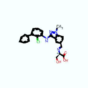 Cn1nc(Nc2cccc(-c3ccccc3)c2Cl)c2cc(C=N[C@H](CO)C(=O)O)ccc21